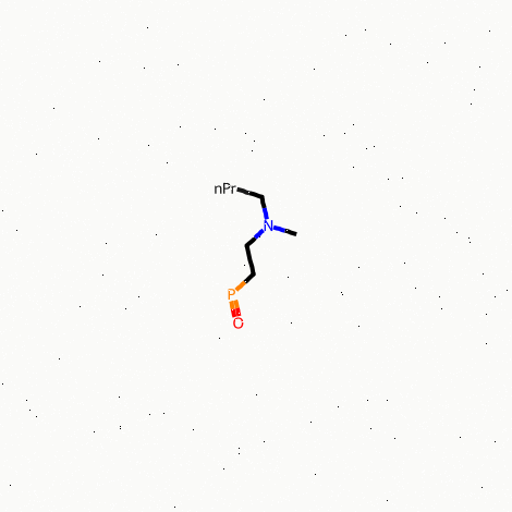 CCCCN(C)CCP=O